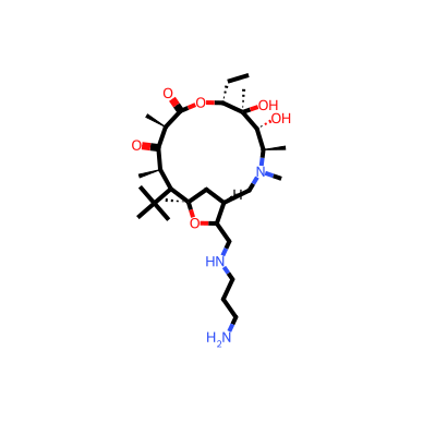 CC[C@H]1OC(=O)[C@H](C)C(=O)[C@H](C)C(C(C)(C)C)[C@@]2(C)C[C@H](CN(C)[C@H](C)[C@@H](O)[C@]1(C)O)C(CNCCCN)O2